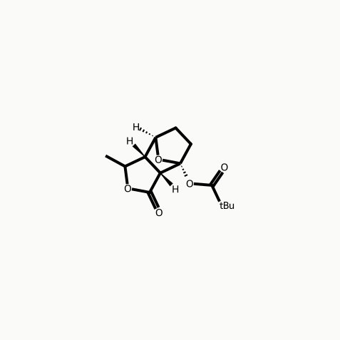 CC1OC(=O)[C@@H]2[C@H]1[C@H]1CC[C@]2(OC(=O)C(C)(C)C)O1